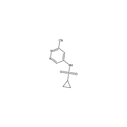 N#Cc1cc(NS(=O)(=O)C2CC2)cnn1